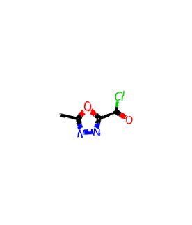 Cc1nnc(C(=O)Cl)o1